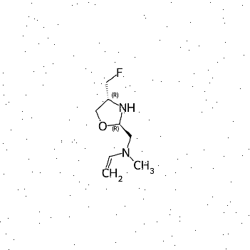 C=CN(C)C[C@@H]1N[C@@H](CF)CO1